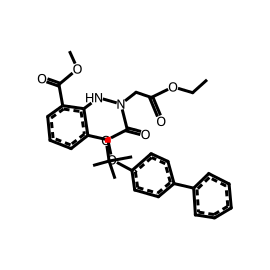 CCOC(=O)CN(Nc1c(COc2ccc(-c3ccccc3)cc2)cccc1C(=O)OC)C(=O)OC(C)(C)C